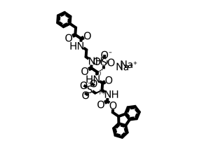 O=C(N[C@@H](CS(=O)(=O)[O-])C(=O)N[C@@H](CS(=O)(=O)[O-])C(=O)NCCNC(=O)C(=O)Cc1ccccc1)OCC1c2ccccc2-c2ccccc21.[Na+].[Na+]